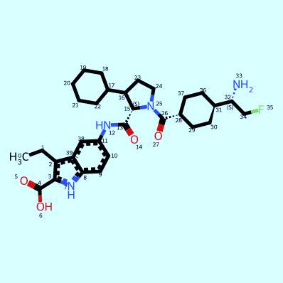 CCc1c(C(=O)O)[nH]c2ccc(NC(=O)[C@@H]3C(C4CCCCC4)CCN3C(=O)[C@H]3CC[C@H]([C@H](N)CF)CC3)cc12